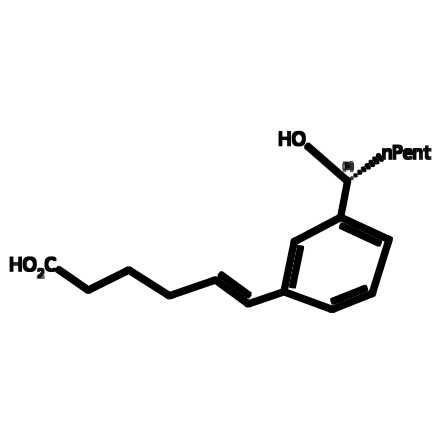 CCCCC[C@@H](O)c1cccc(C=CCCCC(=O)O)c1